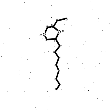 CCCCCCCCC1COCC(CC)O1